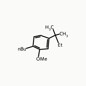 [CH2]CCCc1ccc(C(C)(C)CC)cc1OC